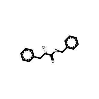 O=C(OCc1ccccc1)[C@@H](O)Cc1ccccc1